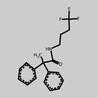 CC(C(=O)NCCCC(F)(F)F)(c1ccccc1)c1ccccc1